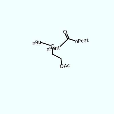 CCCCCC(=O)CCCCC.CCCCOCCOC(C)=O